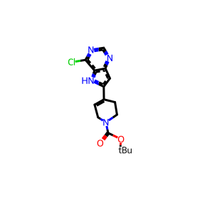 CC(C)(C)OC(=O)N1CC=C(c2cc3ncnc(Cl)c3[nH]2)CC1